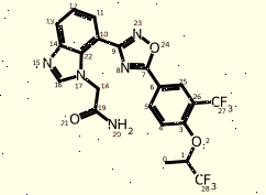 CC(Oc1ccc(-c2nc(-c3cccc4ncn(CC(N)=O)c34)no2)cc1C(F)(F)F)C(F)(F)F